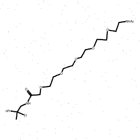 CCCC(C)(CC)CNC(=O)COCCOCCOCCOCCOCCNC(C)=O